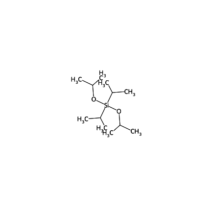 CC(C)O[Si](OC(C)C)(C(C)C)C(C)C